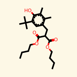 CCCCOC(=O)C(Cc1cc(C(C)(C)C)c(O)c(C)c1C)C(=O)OCCCC